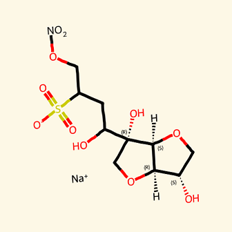 O=[N+]([O-])OCC(CC(O)[C@]1(O)CO[C@@H]2[C@@H](O)CO[C@@H]21)S(=O)(=O)[O-].[Na+]